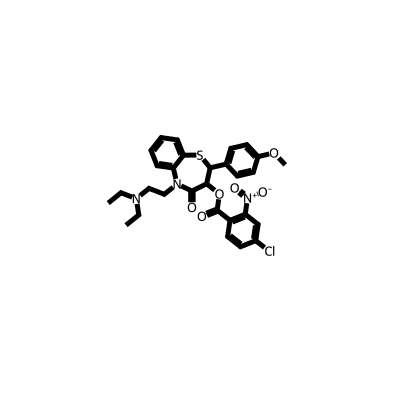 CCN(CC)CCN1C(=O)C(OC(=O)c2ccc(Cl)cc2[N+](=O)[O-])C(c2ccc(OC)cc2)Sc2ccccc21